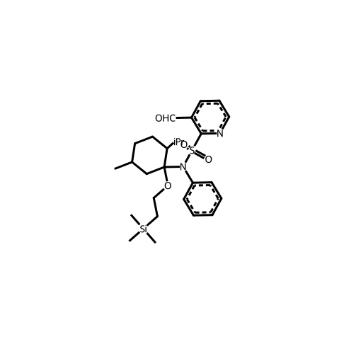 CC1CCC(C(C)C)C(OCC[Si](C)(C)C)(N(c2ccccc2)S(=O)(=O)c2ncccc2C=O)C1